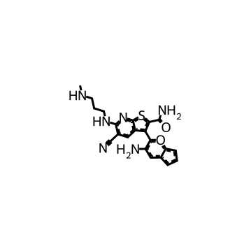 CNCCCNc1nc2sc(C(N)=O)c(-c3oc4cccc-4cc3N)c2cc1C#N